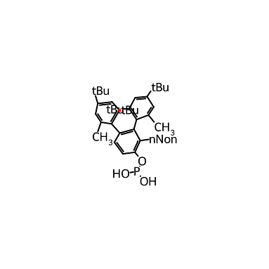 CCCCCCCCCc1c(OP(O)O)ccc(-c2c(C)cc(C(C)(C)C)cc2C(C)(C)C)c1-c1c(C)cc(C(C)(C)C)cc1C(C)(C)C